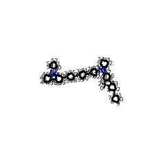 CC1(C)c2cc(-c3ccccc3)ccc2-c2ccc(N(c3ccccc3)c3ccc(-c4ccc(-c5ccc(-c6ccc7c8ccccc8n(-c8ccccc8)c7c6)cc5)cc4)cc3)cc21